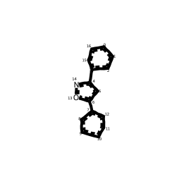 c1ccc(-c2cc(-c3ccccc3)on2)cc1